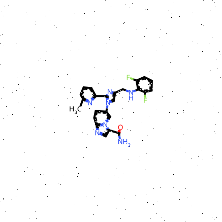 Cc1cccc(-c2nc(CNc3c(F)cccc3F)cn2-c2ccc3ncc(C(N)=O)n3c2)n1